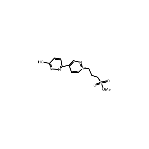 COS(=O)(=O)CCC[n+]1ccc(-c2ccc(O)nn2)cn1